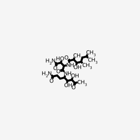 CC(=O)C(O)C(O)C(CCC(N)=O)NC(=O)C(NC(=O)C(C)C(O)C(C)CC(C)C)C(O)C(N)=O